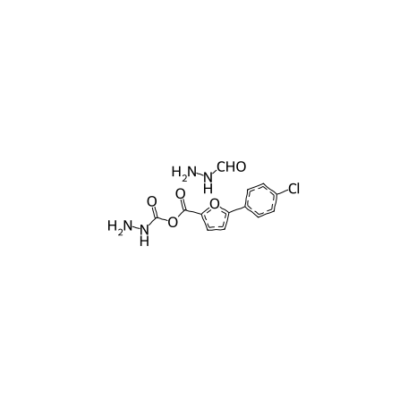 NNC(=O)OC(=O)c1ccc(-c2ccc(Cl)cc2)o1.NNC=O